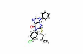 O=c1c2ncn(-c3ccccc3)c2nc(SCCCC(F)(F)F)n1-c1ccc(Cl)cc1